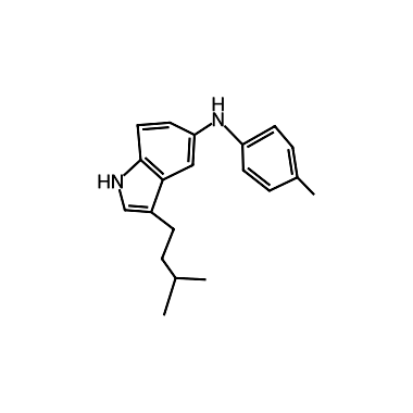 Cc1ccc(Nc2ccc3[nH]cc(CCC(C)C)c3c2)cc1